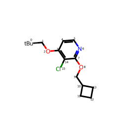 CC(C)(C)COc1ccnc(OCC2CCC2)c1Cl